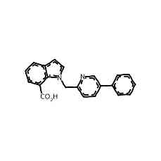 O=C(O)c1cccc2ccn(Cc3ccc(-c4ccccc4)cn3)c12